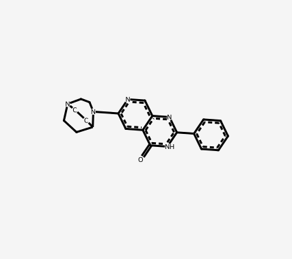 O=c1[nH]c(-c2ccccc2)nc2cnc(N3CCN4CCC3CC4)cc12